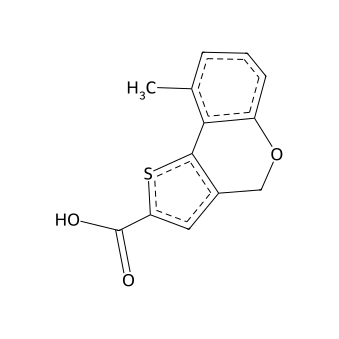 Cc1cccc2c1-c1sc(C(=O)O)cc1CO2